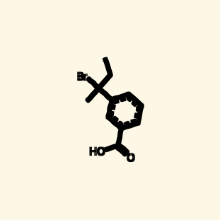 CCC(C)(Br)c1cccc(C(=O)O)c1